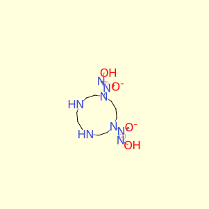 [O-]/[N+](=N\O)N1CCCN(/[N+]([O-])=N/O)CCNCCCNCC1